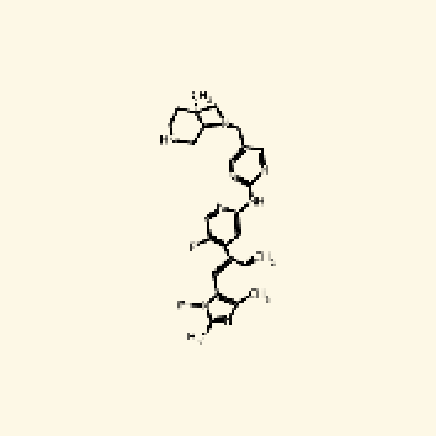 C=C/C(=C\c1c(C)nc(C)n1C(C)C)c1cc(Nc2ncc(CN3C[C@]4(C)CCNCC34)cn2)ncc1F